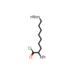 CCCCCCCCCCCCCCCCC(CCC)C(=O)Cl